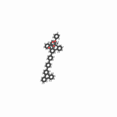 c1ccc(-c2nc(-c3ccccc3)nc(-c3ccccc3-c3cc(-c4ccc(-c5ccc(-c6ccc7c8ccccc8c8ccccc8c7c6)cc5)cc4)cc4oc5ccccc5c34)n2)cc1